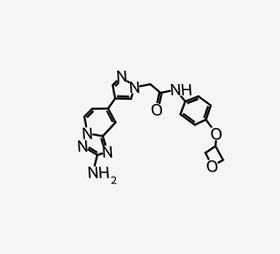 Nc1nc2cc(-c3cnn(CC(=O)Nc4ccc(OC5COC5)cc4)c3)ccn2n1